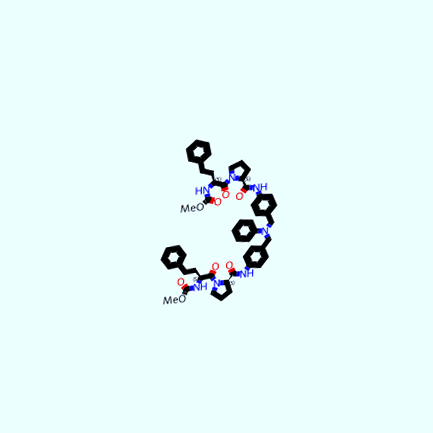 COC(=O)N[C@@H](CCc1ccccc1)C(=O)N1CCC[C@H]1C(=O)Nc1ccc(CN(Cc2ccc(NC(=O)[C@@H]3CCCN3C(=O)[C@H](CCc3ccccc3)NC(=O)OC)cc2)c2ccccc2)cc1